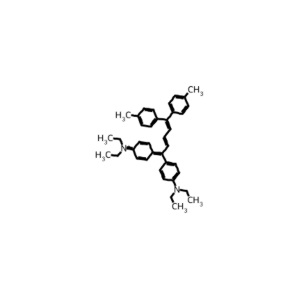 CCN(CC)c1ccc(C(C=CC=C(c2ccc(C)cc2)c2ccc(C)cc2)=C2C=CC(=[N+](CC)CC)C=C2)cc1